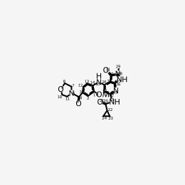 COc1cc(C(=O)N2CCOCC2)ccc1Nc1cc(NC(=O)C2CC2)nc2[nH]n(C)c(=O)c12